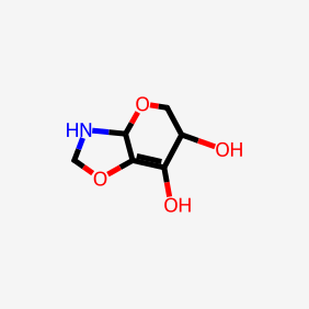 OC1=C2OCNC2OCC1O